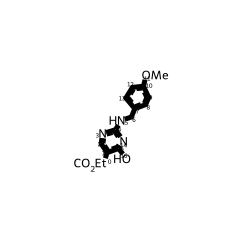 CCOC(=O)c1cnc(NCc2ccc(OC)cc2)nc1O